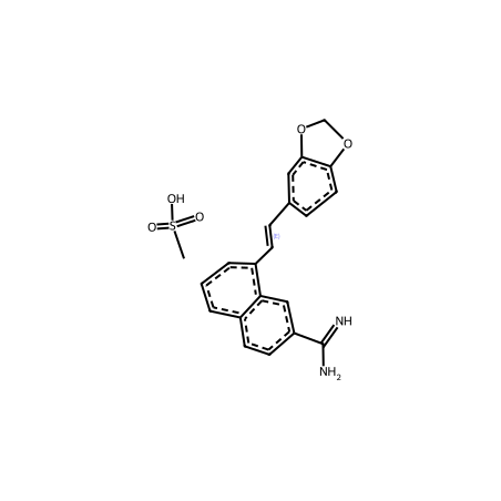 CS(=O)(=O)O.N=C(N)c1ccc2cccc(/C=C/c3ccc4c(c3)OCO4)c2c1